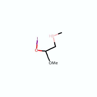 CBCC(OC)OI